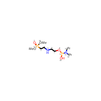 COP(=O)(CCNCCOP(O)N(C(C)C)C(C)C)OC